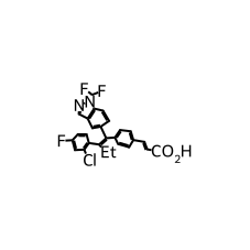 CCC(=C(c1ccc(C=CC(=O)O)cc1)c1ccc2c(cnn2C(F)F)c1)c1ccc(F)cc1Cl